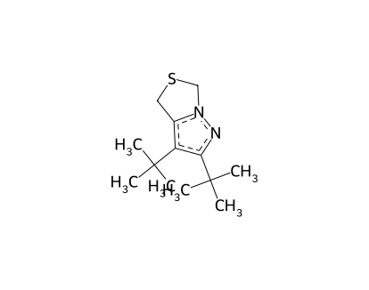 CC(C)(C)c1nn2c(c1C(C)(C)C)CSC2